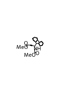 COC(=O)C#CC(NCC(=O)OC)C1c2ccccc2-c2ccccc21